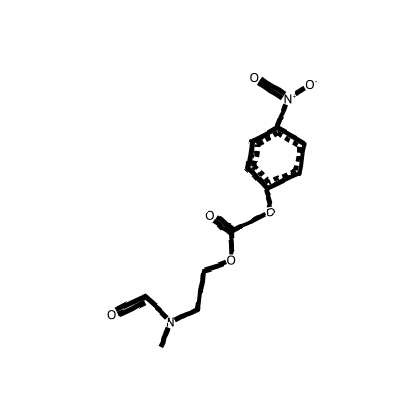 CN(C=O)CCOC(=O)Oc1ccc([N+](=O)[O-])cc1